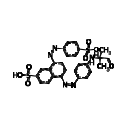 CC(C)(C=O)Nc1ccc(/N=N\c2ccc(/N=N\c3ccc(S(=O)(=O)O)cc3)c3cc(S(=O)(=O)O)ccc23)cc1